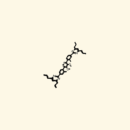 CCCc1cc(CCC)nc(-c2ccc(-c3nnc(-c4ccc(-c5nc(CCC)cc(CCC)n5)cc4C)c(OC)c3OC)c(C)c2)n1